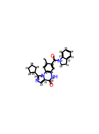 Cc1cc2c(cc1C(=O)N1CCc3ccccc31)[nH]c(=O)c1cnc(C3CCCC3)n12